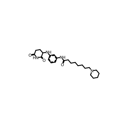 O=C1CCC(Nc2cccc(NC(=O)CCCCCCCN3CCCCC3)c2)C(=O)N1